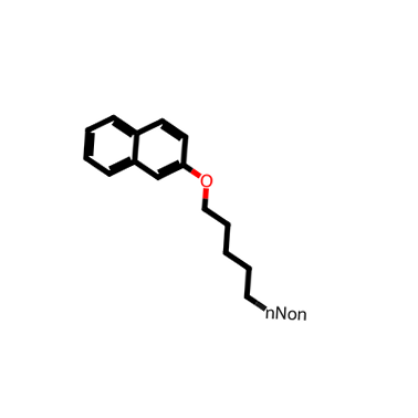 CCCCCCCCCCCCCCOc1ccc2ccccc2c1